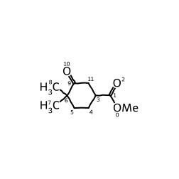 COC(=O)C1CCC(C)(C)C(=O)C1